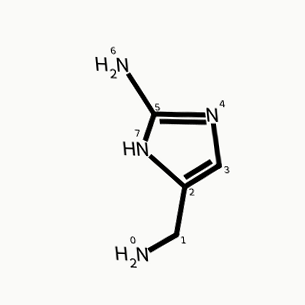 NCc1cnc(N)[nH]1